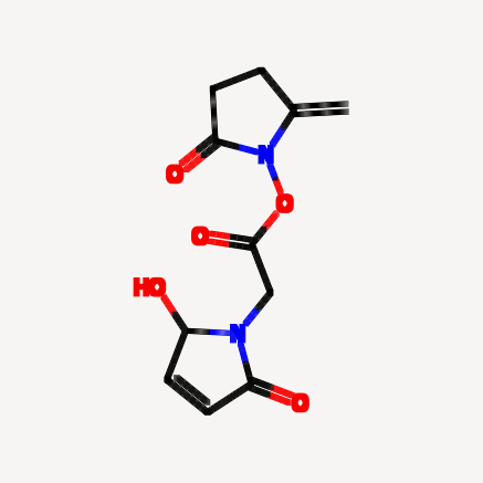 C=C1CCC(=O)N1OC(=O)CN1C(=O)C=CC1O